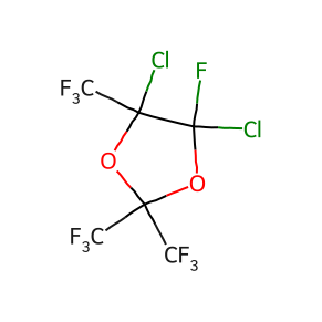 FC(F)(F)C1(Cl)OC(C(F)(F)F)(C(F)(F)F)OC1(F)Cl